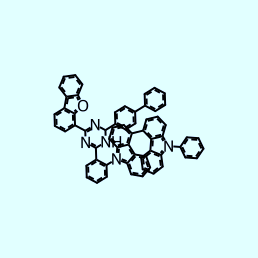 c1ccc(-c2ccc(C3N=C(c4cccc5c4oc4ccccc45)N=C(c4ccccc4-n4c5ccccc5c5c(-c6cccc7c6c6ccccc6n7-c6ccccc6)cccc54)N3)cc2)cc1